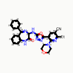 CCc1nc(N2CCOCC2)c(-c2nnc(NC3N=C(c4ccccc4)c4ccccc4NC3=O)o2)cc1C#N